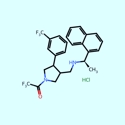 C[C@@H](NCC1CN(C(=O)C(F)(F)F)CC1c1cccc(C(F)(F)F)c1)c1cccc2ccccc12.Cl